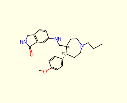 CCCN1CC[C@H](CNc2ccc3c(c2)C(=O)NC3)[C@@H](c2ccc(OC)cc2)CC1